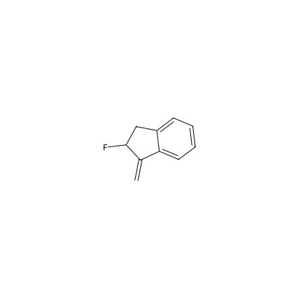 C=C1c2ccccc2CC1F